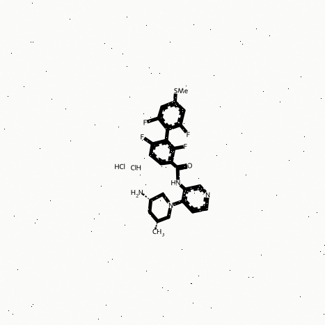 CSc1cc(F)c(-c2c(F)ccc(C(=O)Nc3cnccc3N3C[C@H](C)C[C@H](N)C3)c2F)c(F)c1.Cl.Cl